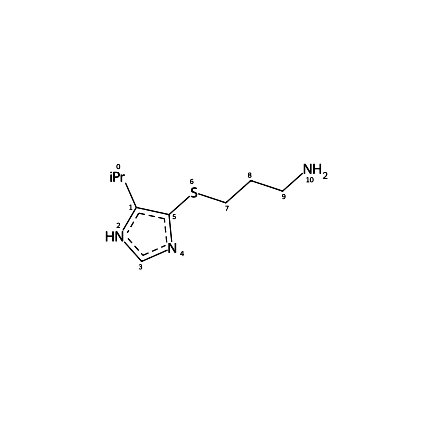 CC(C)c1[nH]cnc1SCCCN